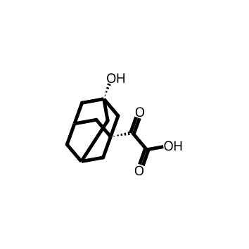 O=C(O)C(=O)[C@]12CC3CC(C[C@@](O)(C3)C1)C2